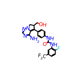 NC1=NC=NN2CC(CO)C(c3ccc(NC(=O)Nc4cc(C(F)(F)F)ccc4F)cc3)=C12